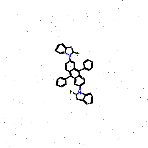 FC1Cc2ccccc2N1c1ccc2c(-c3ccccc3)c3cc(N4c5ccccc5CC4F)ccc3c(-c3ccccc3)c2c1